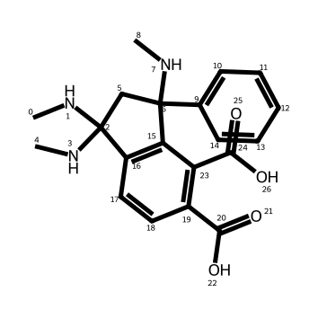 CNC1(NC)CC(NC)(c2ccccc2)c2c1ccc(C(=O)O)c2C(=O)O